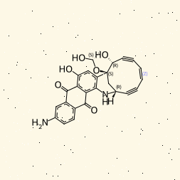 C[C@@H](O)O[C@]12C[C@H](C#C/C=C\C#C[C@H]1O)Nc1c2cc(O)c2c1C(=O)c1ccc(N)cc1C2=O